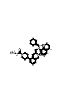 CC(C)(C)OC(=O)N1CCC(c2cccc3c2CC(CN(CC2CCCCC2)c2cccc4c2NCCC4)N(C(=O)O)C3)CC1